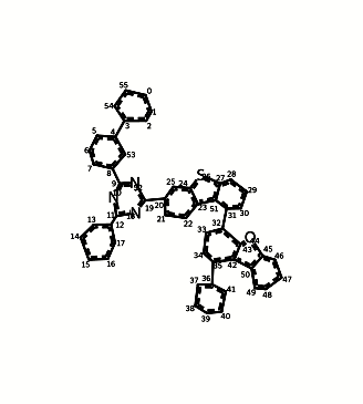 c1ccc(-c2cccc(-c3nc(-c4ccccc4)nc(-c4ccc5c(c4)sc4cccc(-c6ccc(-c7ccccc7)c7c6oc6ccccc67)c45)n3)c2)cc1